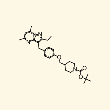 CCc1nn2c(C)cc(C)nc2c1Cc1ccc(OCC2CCN(C(=O)OC(C)(C)C)CC2)cc1